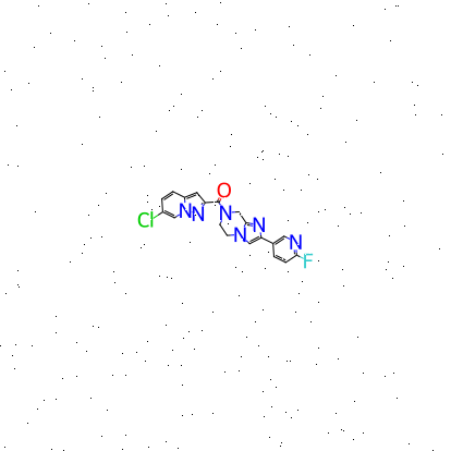 O=C(c1cc2ccc(Cl)cn2n1)N1CCn2cc(-c3ccc(F)nc3)nc2C1